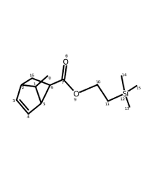 CC1C2C=CC1C(C(=O)OCC[Si](C)(C)C)C2